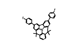 CC1(C)c2cccc3c2-n2c4c1cc(-c1ccc(F)cc1)cc4c1cc(-c4ccc(F)cc4)cc(c12)C3(C)C